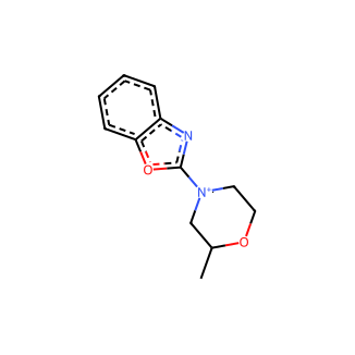 CC1C[N+](c2nc3ccccc3o2)CCO1